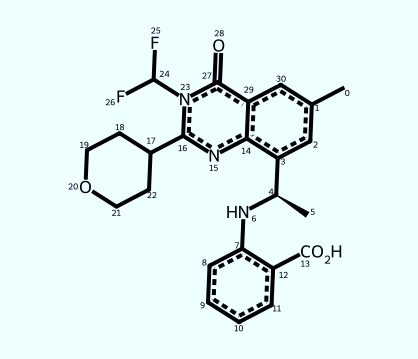 Cc1cc([C@@H](C)Nc2ccccc2C(=O)O)c2nc(C3CCOCC3)n(C(F)F)c(=O)c2c1